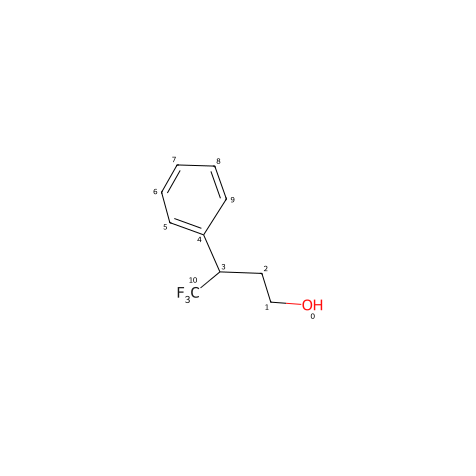 OCCC(c1ccccc1)C(F)(F)F